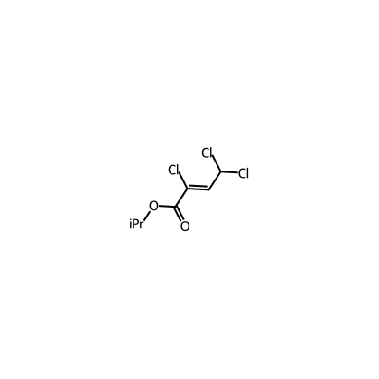 CC(C)OC(=O)C(Cl)=CC(Cl)Cl